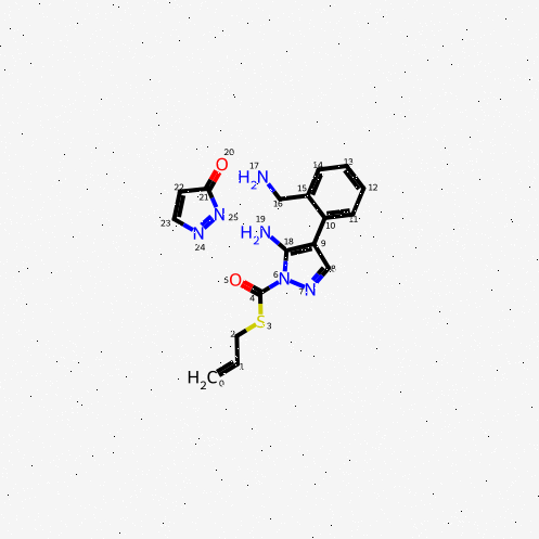 C=CCSC(=O)n1ncc(-c2ccccc2CN)c1N.O=C1C=CN=N1